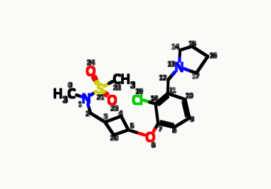 CN(CC1CC(Oc2cccc(CN3CCCC3)c2Cl)C1)S(C)(=O)=O